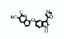 N#Cc1cc2c(nc1Cl)[C@@H](Oc1ccc3[nH]nc(-c4cnco4)c3c1)CC2